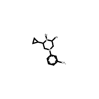 CC(=O)N1C(C(C)C)CN(c2cccc(C)c2)CC1C1CC1